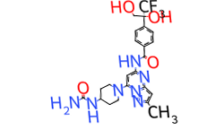 Cc1cc2nc(NC(=O)c3ccc([C@](O)(CO)C(F)(F)F)cc3)cc(N3CCC(NC(N)=O)CC3)n2n1